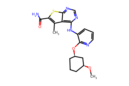 CO[C@H]1CCC[C@@H](Oc2ncccc2Nc2ncnc3sc(C(N)=O)c(C)c23)C1